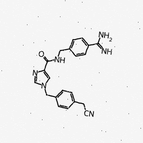 N#CCc1ccc(Cn2cnc(C(=O)NCc3ccc(C(=N)N)cc3)c2)cc1